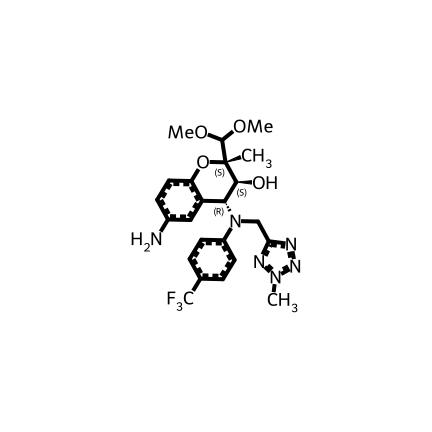 COC(OC)[C@@]1(C)Oc2ccc(N)cc2[C@@H](N(Cc2nnn(C)n2)c2ccc(C(F)(F)F)cc2)[C@@H]1O